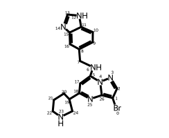 Brc1cnn2c(NCc3ccc4[nH]cnc4c3)cc(C3CCCNC3)nc12